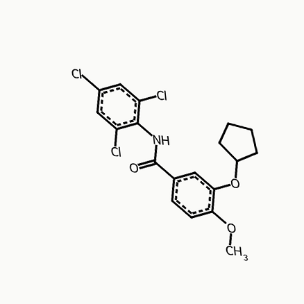 COc1ccc(C(=O)Nc2c(Cl)cc(Cl)cc2Cl)cc1OC1CCCC1